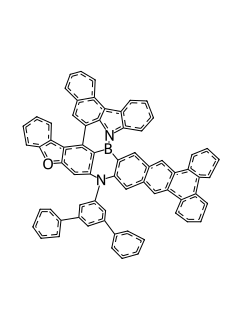 c1ccc(-c2cc(-c3ccccc3)cc(N3c4cc5cc6c7ccccc7c7ccccc7c6cc5cc4B4c5c3cc3oc6ccccc6c3c5-c3cc5ccccc5c5c6ccccc6n4c35)c2)cc1